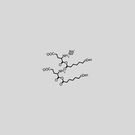 CCCCCCCCCCCCCCCC(=O)OC(=O)C(N)CCC(=O)[O-].CCCCCCCCCCCCCCCC(=O)OC(=O)C(N)CCC(=O)[O-].[Na+].[Na+]